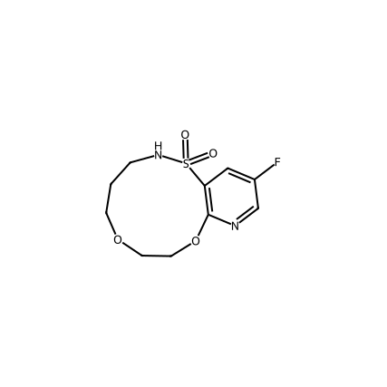 O=S1(=O)NCCCOCCOc2ncc(F)cc21